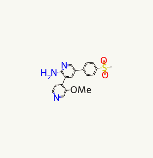 COc1cnccc1-c1cc(-c2ccc(S(C)(=O)=O)cc2)cnc1N